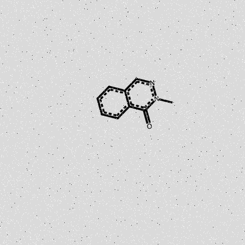 Cn1n[c]c2ccccc2c1=O